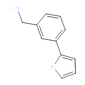 NCc1cccc(C2=CC=C[N]2)c1